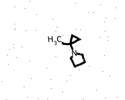 CCC1(N2CCCC2)CC1